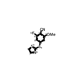 COc1cc(Sc2nccs2)cc(F)c1C#N